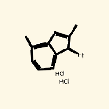 CC1=Cc2c(C)cccc2[CH]1[Hf].Cl.Cl